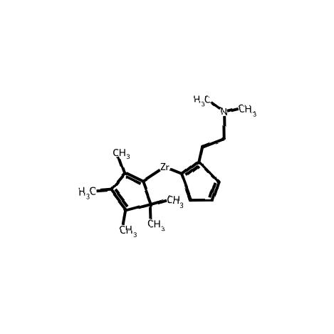 CC1=C(C)C(C)(C)[C]([Zr][C]2=C(CCN(C)C)C=CC2)=C1C